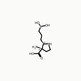 N[C@]1(C(=O)O)CCN[C@@H]1CCCB(O)O